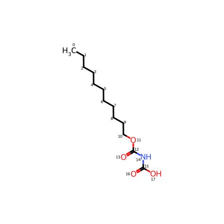 CCCCCCCCCCCOC(=O)NC(=O)O